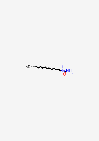 CCCCCCCCCCCCCCCCCCCCCCNC(N)=O